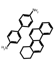 Nc1ccc(-c2ccc(N)cc2)cc1.c1ccc2c(c1)ccc1c3c(ccc12)CCCC3